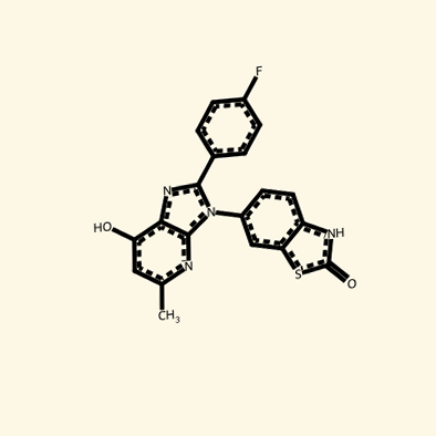 Cc1cc(O)c2nc(-c3ccc(F)cc3)n(-c3ccc4[nH]c(=O)sc4c3)c2n1